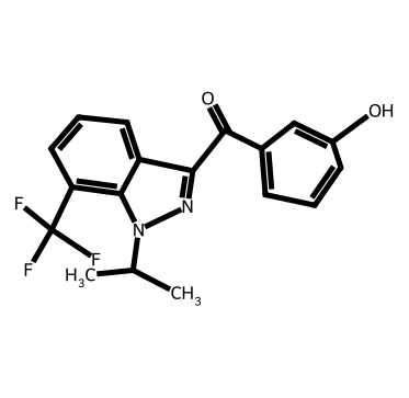 CC(C)n1nc(C(=O)c2cccc(O)c2)c2cccc(C(F)(F)F)c21